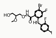 COC(CO)CONC(=O)c1cc(Br)c(F)cc1Nc1ccc(I)cc1F